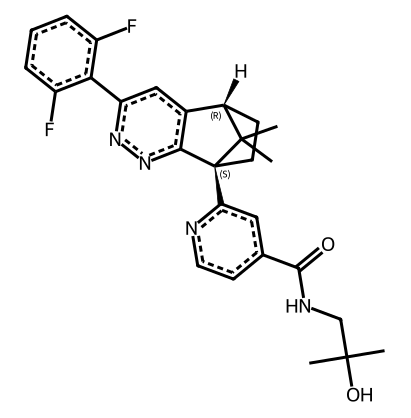 CC(C)(O)CNC(=O)c1ccnc([C@@]23CC[C@@H](c4cc(-c5c(F)cccc5F)nnc42)C3(C)C)c1